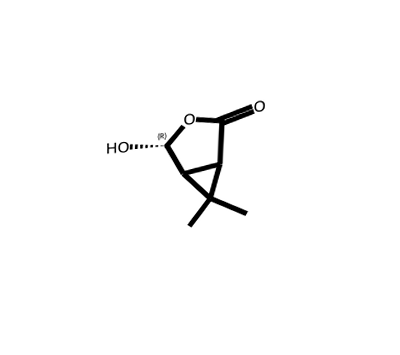 CC1(C)C2C(=O)O[C@@H](O)C21